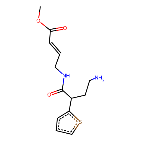 COC(=O)/C=C/CNC(=O)C(CCN)c1cccs1